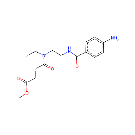 CCN(CCNC(=O)c1ccc(N)cc1)C(=O)CCC(=O)OC